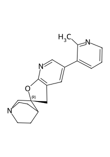 Cc1ncccc1-c1cnc2c(c1)C[C@@]1(CN3CCC1CC3)O2